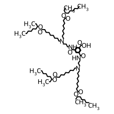 CCCCCCC(CC)OC(=O)CCCCCCCCN(CCCCCCCCC(=O)OC(CC)CCCCCC)CCCNC(=O)c1cc(C(=O)O)cc(C(=O)NCCCN(CCCCCCCCC(=O)OC(CC)CCCCCC)CCCCCCCCC(=O)OC(CC)CCCCCC)c1